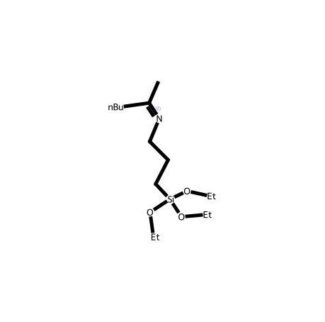 CCCC/C(C)=N\CCC[Si](OCC)(OCC)OCC